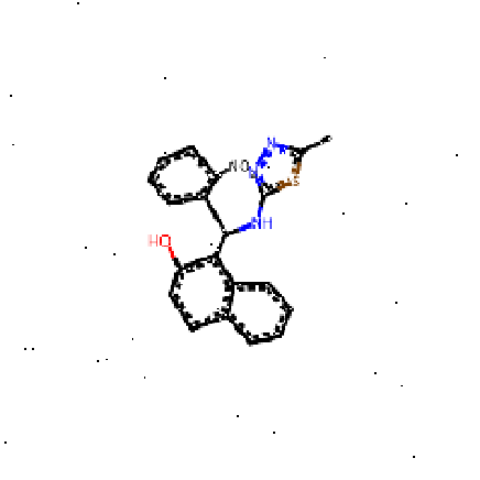 Cc1nnc(NC(c2ccccc2[N+](=O)[O-])c2c(O)ccc3ccccc23)s1